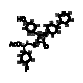 CC(=O)OC(CS[C@H]1C(=O)N(c2ccc(-c3cccnc3)cc2)[C@@H]1c1ccc(O)cc1)c1ccc(F)cc1